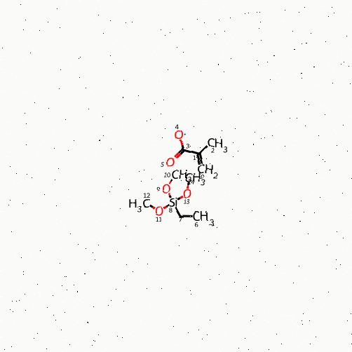 C=C(C)C([O])=O.CC[Si](OC)(OC)OC